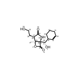 C[C@@]12OC(=O)[C@]1([C@@H](O)C1C=CCCC1)NC(=O)[C@@H]2CCO